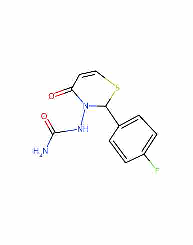 NC(=O)NN1C(=O)C=CSC1c1ccc(F)cc1